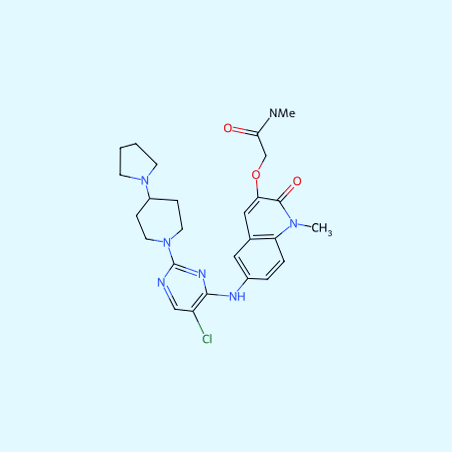 CNC(=O)COc1cc2cc(Nc3nc(N4CCC(N5CCCC5)CC4)ncc3Cl)ccc2n(C)c1=O